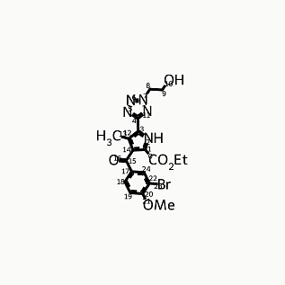 CCOC(=O)c1[nH]c(-c2nnn(CCO)n2)c(C)c1C(=O)c1ccc(OC)c(Br)c1